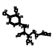 CCCCCCCCOSN(C)C(=O)Nc1ccc(Cl)c(Cl)c1